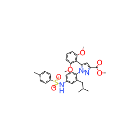 COC(=O)c1cc(-c2c(OC)cccc2OC)n(-c2ccc(NS(=O)(=O)c3ccc(C)cc3)cc2CC(C)C)n1